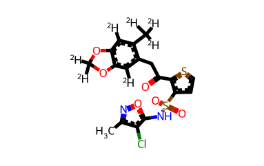 [2H]c1c(CC(=O)c2sccc2S(=O)(=O)Nc2onc(C)c2Cl)c(C([2H])([2H])[2H])c([2H])c2c1OC([2H])([2H])O2